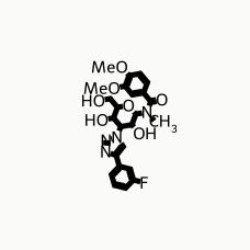 COc1ccc(C(=O)N(C)C2OC(CO)C(O)C(n3cc(-c4cccc(F)c4)nn3)C2O)cc1OC